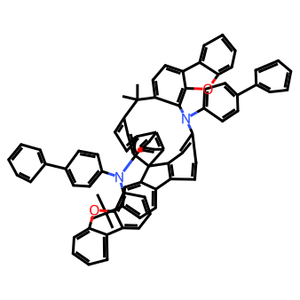 CC(C)(C)c1ccc2c(c1)C13c4cc(N(c5ccc(-c6ccccc6)cc5)c5cccc6c5oc5ccccc56)ccc4-c4ccc(cc41)C(C)(C)c1ccc4c(oc5ccccc54)c1N(c1ccc(-c4ccccc4)cc1)c1ccc-2c3c1